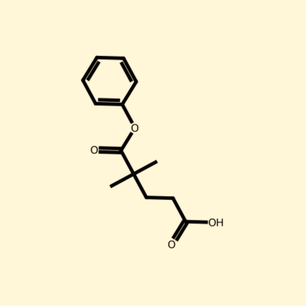 CC(C)(CCC(=O)O)C(=O)Oc1ccccc1